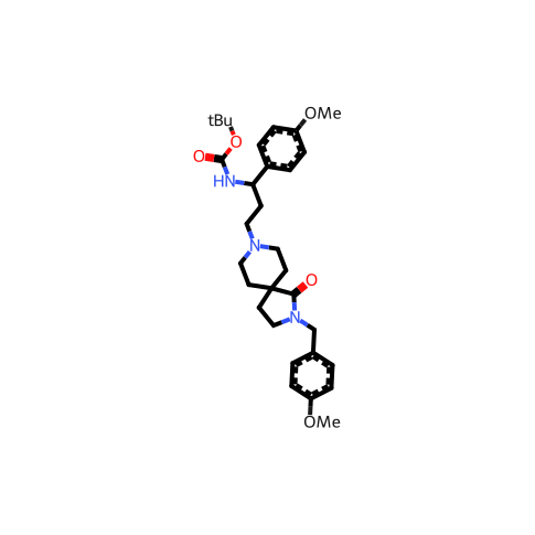 COc1ccc(CN2CCC3(CCN(CCC(NC(=O)OC(C)(C)C)c4ccc(OC)cc4)CC3)C2=O)cc1